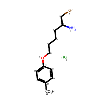 Cl.NC(CS)CCCCOc1ccc(C(=O)O)cc1